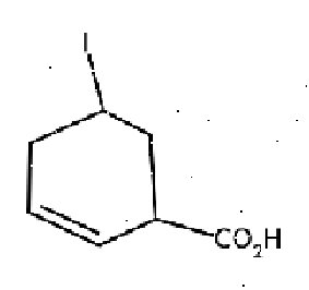 O=C(O)C1C=CCC(I)C1